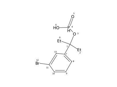 CCC(CC)(O[PH](=O)O)c1cccc(Br)c1